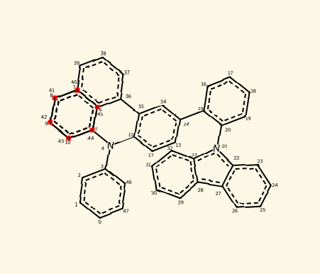 c1ccc(N(c2ccccc2)c2ccc(-c3ccccc3-n3c4ccccc4c4ccccc43)cc2-c2cccc3ccccc23)cc1